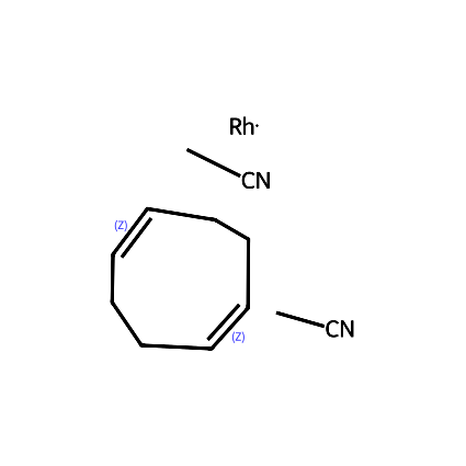 C1=C\CC/C=C\CC/1.CC#N.CC#N.[Rh]